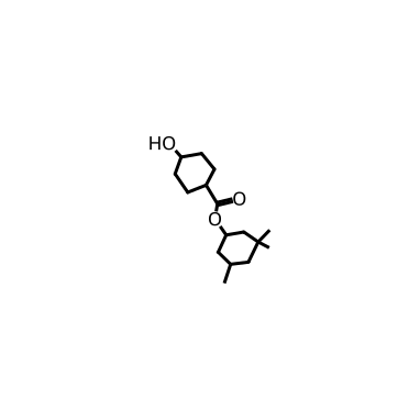 CC1CC(OC(=O)C2CCC(O)CC2)CC(C)(C)C1